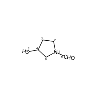 O=CN1CCC(S)C1